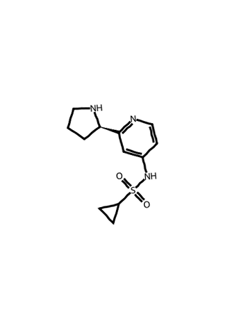 O=S(=O)(Nc1ccnc([C@H]2CCCN2)c1)C1CC1